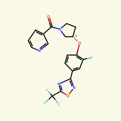 O=C(c1cccnc1)N1CC[C@H](Oc2ccc(-c3noc(C(F)(F)F)n3)cc2F)C1